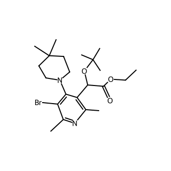 CCOC(=O)C(OC(C)(C)C)c1c(C)nc(C)c(Br)c1N1CCC(C)(C)CC1